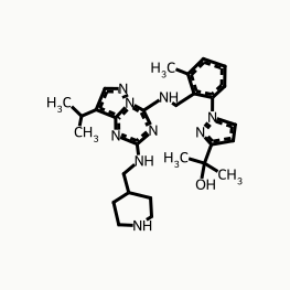 Cc1cccc(-n2ccc(C(C)(C)O)n2)c1CNc1nc(NCC2CCNCC2)nc2c(C(C)C)cnn12